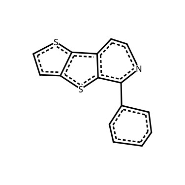 c1ccc(-c2nccc3c2sc2ccsc23)cc1